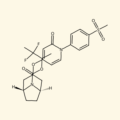 CC(OC(=O)N1[C@@H]2CC[C@@H]1CC(Oc1ccn(-c3ccc(S(C)(=O)=O)cc3)c(=O)c1)C2)C(C)(F)F